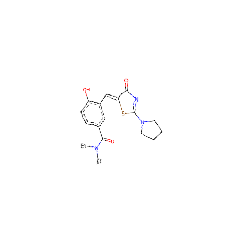 CCN(CC)C(=O)c1ccc(O)c(/C=C2\SC(N3CCCC3)=NC2=O)c1